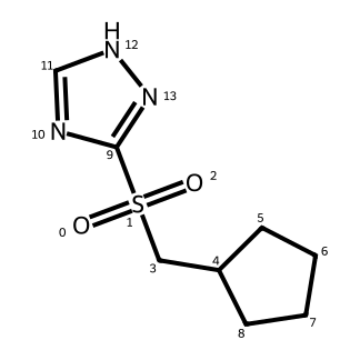 O=S(=O)(CC1CCCC1)c1nc[nH]n1